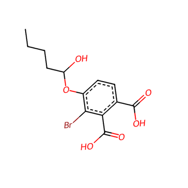 CCCCC(O)Oc1ccc(C(=O)O)c(C(=O)O)c1Br